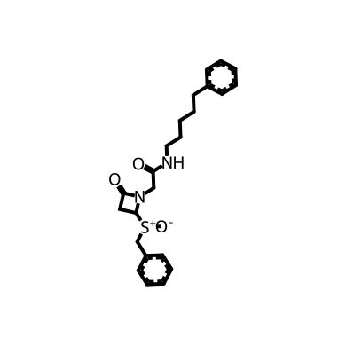 O=C(CN1C(=O)CC1[S+]([O-])Cc1ccccc1)NCCCCCc1ccccc1